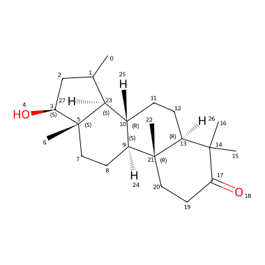 CC1C[C@H](O)[C@@]2(C)CC[C@H]3[C@@H](CC[C@H]4C(C)(C)C(=O)CC[C@]34C)[C@H]12